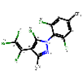 N#Cc1nn(-c2c(Cl)cc(C(F)(F)F)cc2Cl)c(Br)c1C(Br)=C(Br)Br